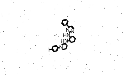 Ic1ccc(N2CCC[C@H](N[C@@H]3CCCC[C@H]3Nc3nccc(-c4ccccc4)n3)C2)cc1